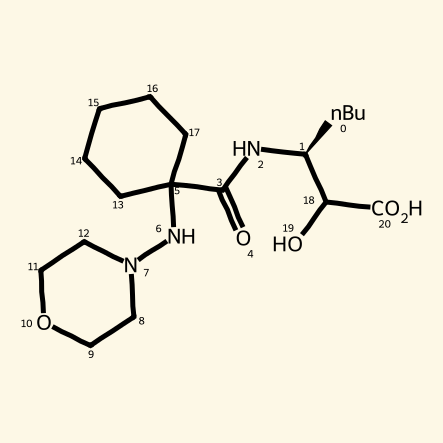 CCCC[C@H](NC(=O)C1(NN2CCOCC2)CCCCC1)C(O)C(=O)O